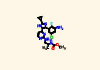 COC(=O)N[C@@H](C)CNc1nccc(-c2[nH]c(C3CC3)nc2-c2cc(Cl)cc(N)c2F)n1